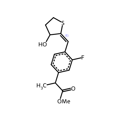 COC(=O)C(C)c1ccc(/C=C2/SCCC2O)c(F)c1